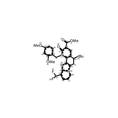 COC(=O)c1cc2c(n(Cc3ccc(OC)cc3OC)c1=O)-c1nc3c(C(F)F)cccn3c1CC2C(C)(C)C